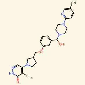 N#Cc1ccc(N2CCN(C(O)c3cccc(OCC4CCN(c5cn[nH]c(=O)c5C(F)(F)F)C4)c3)CC2)nc1